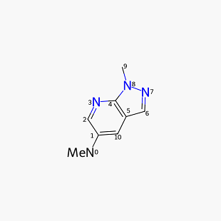 CNc1cnc2c(cnn2C)c1